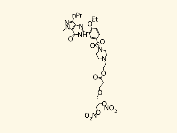 CCCc1nn(C)c2c(=O)[nH]c(-c3cc(S(=O)(=O)N4CCN(CCOC(=O)CCOC[C@@H](CO[N+](=O)[O-])O[N+](=O)[O-])CC4)ccc3OCC)nc12